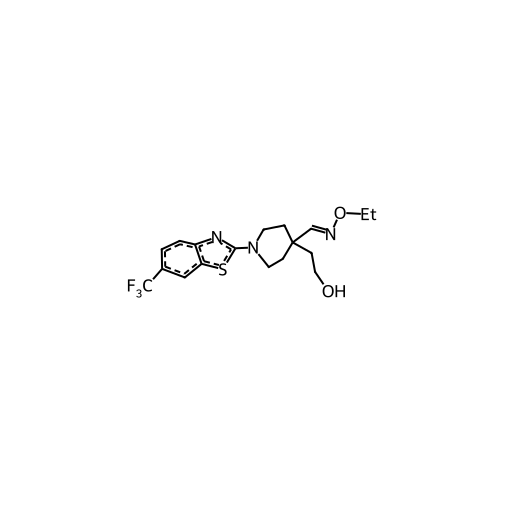 CCO/N=C/C1(CCO)CCN(c2nc3ccc(C(F)(F)F)cc3s2)CC1